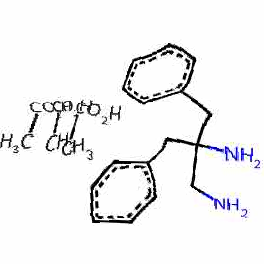 CC(=O)O.CC(=O)O.CC(=O)O.NCC(N)(Cc1ccccc1)Cc1ccccc1